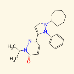 CC(C)n1nc(C2=CCN(C3CCCCCC3)N2c2ccccc2)ccc1=O